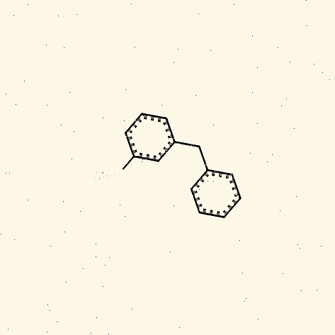 COc1cccc(Cc2cc[c]cc2)c1